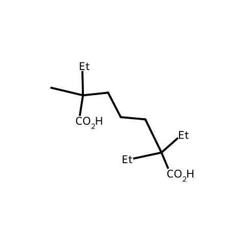 CCC(C)(CCCC(CC)(CC)C(=O)O)C(=O)O